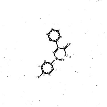 CCN(/C=C(\C(=O)C(F)(F)F)c1ccccc1)c1ccc(F)cc1